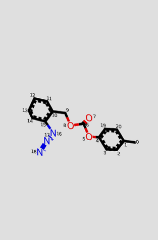 Cc1ccc(OC(=O)OCc2ccccc2N=[N+]=[N-])cc1